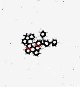 CC1(C)c2ccccc2-c2c(N(c3ccc4c5ccc(C67CCC(CC6)C7)cc5n(-c5ccccc5)c4c3)c3ccccc3-c3cccc4cccc(-c5ccccc5)c34)cccc21